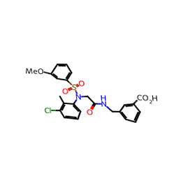 COc1cccc(S(=O)(=O)N(CC(=O)NCc2cccc(C(=O)O)c2)c2cccc(Cl)c2C)c1